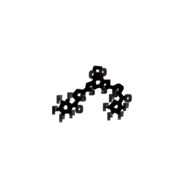 O=C(c1ccc(-c2cc3c(s2)-c2sc(-c4ccc(C(=O)c5c(F)c(F)c(F)c(F)c5F)s4)cc2C24OCCOC32OCCO4)s1)c1c(F)c(F)c(F)c(F)c1F